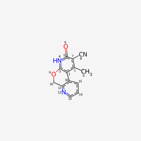 Cc1c2c([nH]c(=O)c1C#N)OCc1ncccc1-2